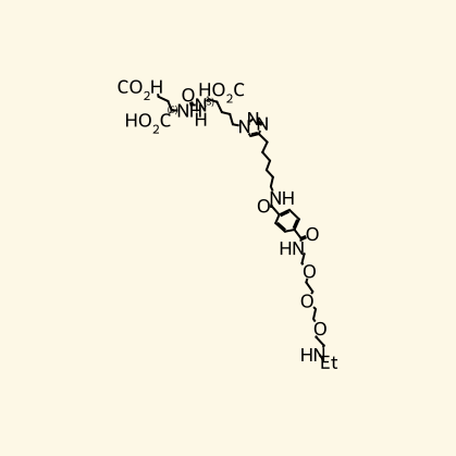 CCNCCOCCOCCOCCNC(=O)c1ccc(C(=O)NCCCCCCc2cn(CCCC[C@H](NC(=O)N[C@@H](CCC(=O)O)C(=O)O)C(=O)O)nn2)cc1